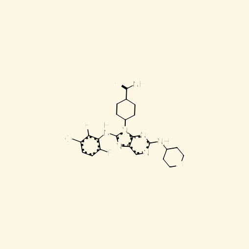 NC(=O)C1CCC(n2c(Nc3c(F)ccc(Cl)c3F)nc3cnc(NC4CCOCC4)nc32)CC1